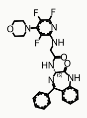 O=C(CNc1nc(F)c(F)c(N2CCOCC2)c1F)N[C@H]1N=C(c2ccccc2)c2ccccc2NC1=O